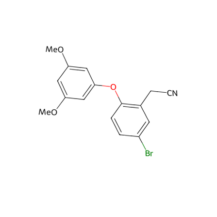 COc1cc(OC)cc(Oc2ccc(Br)cc2CC#N)c1